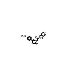 COc1ccc(-c2ccc(=O)n(CC(=O)NCC3CCOCC3)n2)cc1